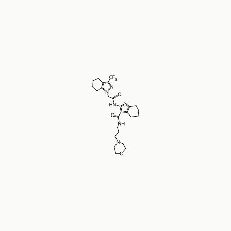 O=C(Cn1nc(C(F)(F)F)c2c1CCCC2)Nc1sc2c(c1C(=O)NCCCN1CCOCC1)CCCC2